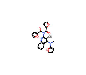 CN(c1ccco1)c1c(C#N)c(N(C(=O)c2ccco2)C(=O)c2ccco2)nc2ccccc12